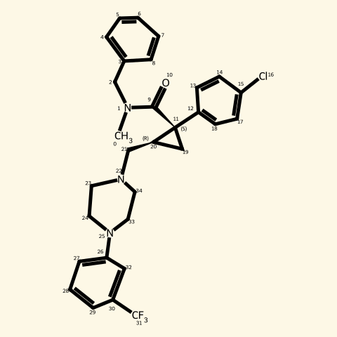 CN(Cc1ccccc1)C(=O)[C@@]1(c2ccc(Cl)cc2)C[C@H]1CN1CCN(c2cccc(C(F)(F)F)c2)CC1